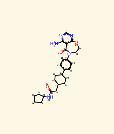 Nc1ncnc2c1C(=O)N(c1ccc(C3CCC(CC(=O)NC4CCCC4)CC3)cc1)CCO2